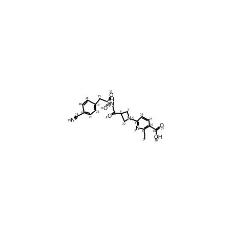 Cc1nc(N2CC(C(=O)NS(=O)(=O)Cc3ccc(C#N)cc3)C2)ccc1C(=O)O